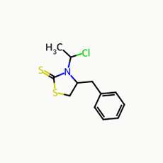 CC(Cl)N1C(=S)SCC1Cc1ccccc1